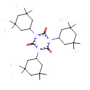 CC1(C)CC(n2c(=O)n(C3CC(C)(C)CC(C)(C)C3)c(=O)n(C3CC(C)(C)CC(C)(C)C3)c2=O)CC(C)(C)C1